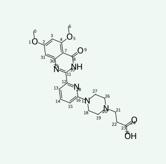 COc1cc(OC)c2c(=O)[nH]c(-c3cccc(N4CCN(CCC(=O)O)CC4)n3)nc2c1